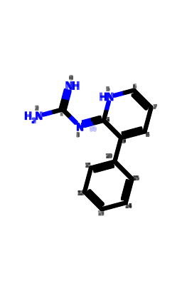 N=C(N)/N=c1\[nH]cccc1-c1ccccc1